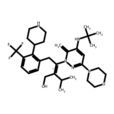 C=C1C(NC(C)(C)C)=CC(N2CCOCC2)=NN1/C(Cc1cccc(C(F)(F)F)c1C1CCNCC1)=C(/CO)C(C)C